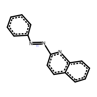 c1ccc(/N=N/c2ccc3ccccc3n2)cc1